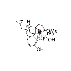 CO[C@@]12CCC3(C[C@@H]1C(C)(O)C(C)(C)C)[C@H]1Cc4ccc(O)c5c4[C@@]3(CCC1CC1CC1)[C@H]2O5